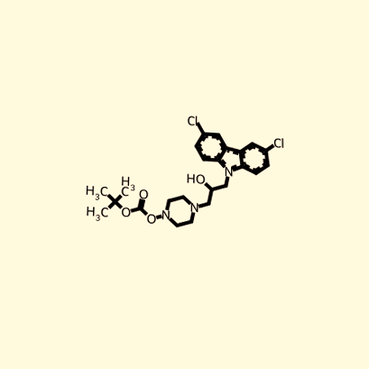 CC(C)(C)OC(=O)ON1CCN(CC(O)Cn2c3ccc(Cl)cc3c3cc(Cl)ccc32)CC1